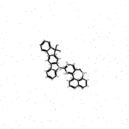 CC1(C)c2ccccc2-c2cc3c4ccccc4n(-c4ncc5c(n4)-c4cccc6cccc(c46)OC5)c3cc21